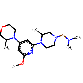 CC1COCCN1c1cc(OC(C)(C)C)nc(N2CCN(SN(C)C)CC2C(F)(F)F)c1